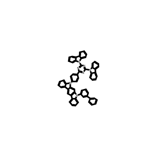 c1ccc(-c2cccc(-n3c4ccccc4c4cc5c6ccccc6n(-c6ccc(-c7nc(-n8c9ccccc9c9ccccc98)nc(-n8c9ccccc9c9ccccc98)n7)cc6)c5cc43)c2)cc1